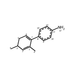 CC1=CC(C)CC=C1c1ccc(N)cc1